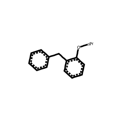 CCCOc1ccccc1Cc1ccccc1